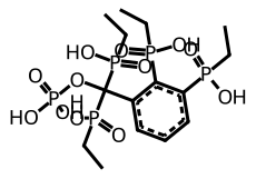 CCP(=O)(O)c1cccc(C(OP(=O)(O)O)(P(=O)(O)CC)P(=O)(O)CC)c1P(=O)(O)CC